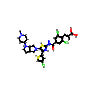 C/C(=C\c1c(Cl)cc(C(=O)Nc2nc(-c3cc(Cl)cs3)c(N3CC4CCN(C5CCN(C)CC5)C4C3)s2)cc1Cl)C(=O)O